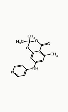 Cc1cc(Nc2ccncc2)cc2c1C(=O)OC(C)(C)O2